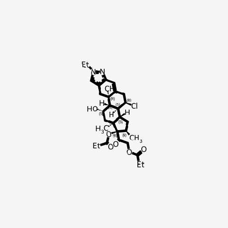 CCC(=O)OCC(=O)[C@@]1(OC(=O)CC)[C@H](C)C[C@H]2[C@H]3[C@H]([C@@H](O)C[C@@]21C)[C@@]1(C)Cc2cn(CC)nc2C=C1C[C@H]3Cl